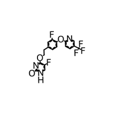 O=c1nc(OCCc2ccc(Oc3ccc(C(F)(F)F)cn3)c(F)c2)c(F)c[nH]1